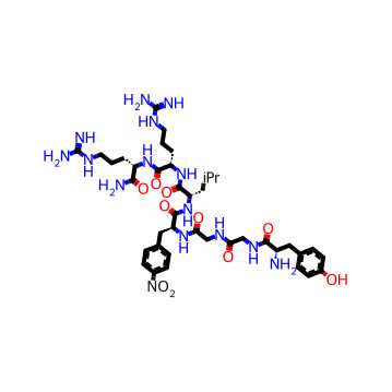 CC(C)C[C@H](NC(=O)[C@H](Cc1ccc([N+](=O)[O-])cc1)NC(=O)CNC(=O)CNC(=O)[C@@H](N)Cc1ccc(O)cc1)C(=O)N[C@@H](CCCNC(=N)N)C(=O)N[C@@H](CCCNC(=N)N)C(N)=O